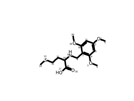 COc1cc(OC)c(CNC(CCSC)C(=O)O)c(OC)c1